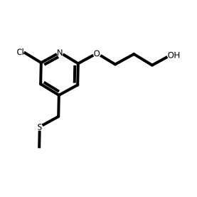 CSCc1cc(Cl)nc(OCCCO)c1